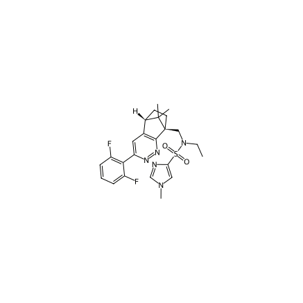 CCN(C[C@@]12CC[C@@H](c3cc(-c4c(F)cccc4F)nnc31)C2(C)C)S(=O)(=O)c1cn(C)cn1